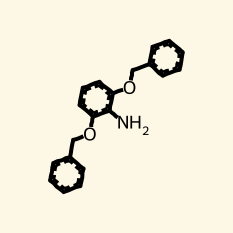 Nc1c(OCc2ccccc2)cccc1OCc1ccccc1